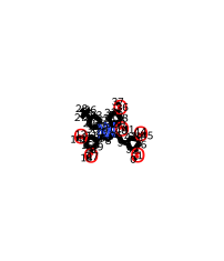 COc1cc(C=CC2=CC(c3cc(OC)cc(OC)c3)N(c3ccc(C(C)(C)C)cc3)N2c2ccc(OC)cc2OC)cc(OC)c1